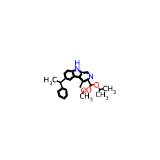 COCc1c(C(=O)OC(C)C)ncc2[nH]c3ccc(C(C)c4ccccc4)cc3c12